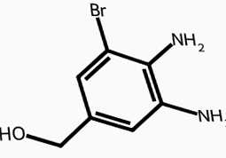 Nc1cc(CO)cc(Br)c1N